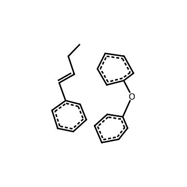 CCC=Cc1ccccc1.c1ccc(Oc2ccccc2)cc1